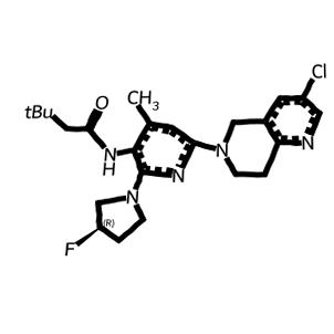 Cc1cc(N2CCc3ncc(Cl)cc3C2)nc(N2CC[C@@H](F)C2)c1NC(=O)CC(C)(C)C